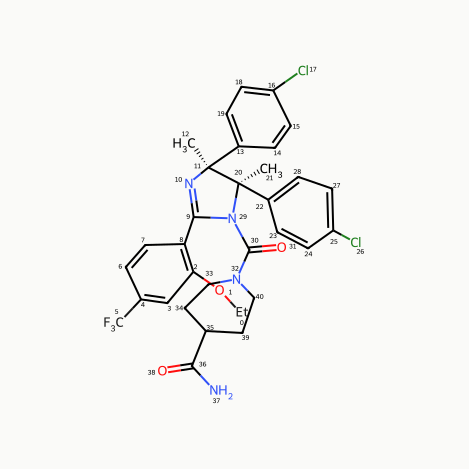 CCOc1cc(C(F)(F)F)ccc1C1=N[C@@](C)(c2ccc(Cl)cc2)[C@@](C)(c2ccc(Cl)cc2)N1C(=O)N1CCC(C(N)=O)CC1